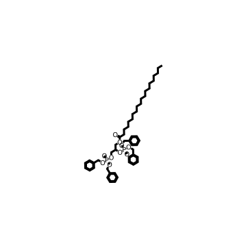 CCCCCCCCCCCCCCCCCCCC(=O)OCC(COP(=O)(OCc1ccccc1)OCc1ccccc1)OP(=O)(OCc1ccccc1)OCc1ccccc1